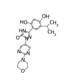 CC(C)c1cc(-c2nn(-c3cnc(N4CCOCC4)nc3)c(=O)[nH]2)c(O)cc1O